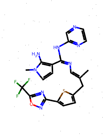 C/C(=C\N=C(\Nc1cnccn1)c1ccn(C)c1N)Cc1ccc(-c2noc(C(F)(F)F)n2)s1